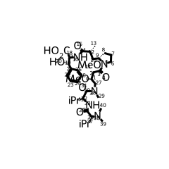 CO[C@H](CC(=O)N1CCC[C@H]1[C@H](OC)[C@@H](C)C(=O)NC(C(=O)O)[C@@H](O)c1ccccc1)CN(C)C(=O)[C@@H](NC(=O)[C@H](C(C)C)N(C)C)C(C)C